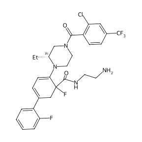 CC[C@@H]1CN(C(=O)c2ccc(C(F)(F)F)cc2Cl)CCN1C1=CC=C(c2ccccc2F)CC1(F)C(=O)NCCN